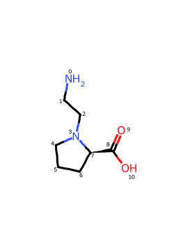 NCCN1CCC[C@@H]1C(=O)O